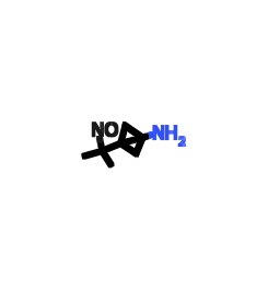 CC(C)(N=O)C12CC1(N)C2